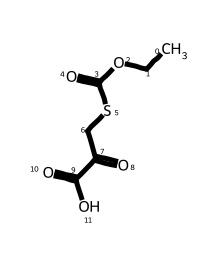 CCOC(=O)SCC(=O)C(=O)O